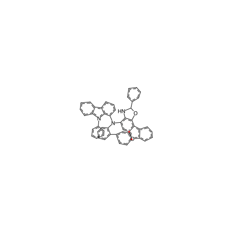 c1ccc(-c2ccccc2N(c2cc3oc4ccccc4c3c3c2NC(c2ccccc2)O3)c2cccc3c4ccccc4n(-c4ccccc4)c23)cc1